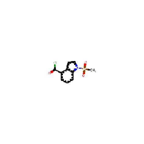 CS(=O)(=O)n1ccc2c(C(=O)Cl)cccc21